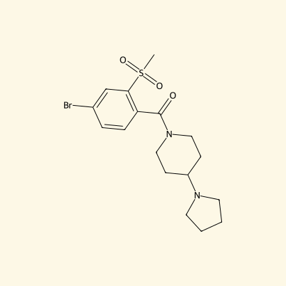 CS(=O)(=O)c1cc(Br)ccc1C(=O)N1CCC(N2CCCC2)CC1